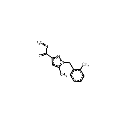 C=NC(=O)c1cc(C)n(Cc2ccccc2C)n1